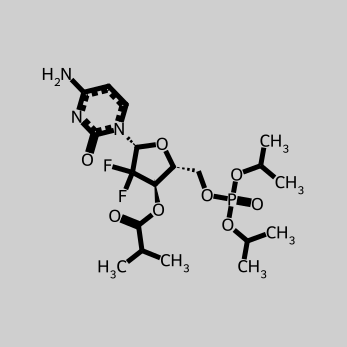 CC(C)OP(=O)(OC[C@H]1O[C@@H](n2ccc(N)nc2=O)C(F)(F)[C@@H]1OC(=O)C(C)C)OC(C)C